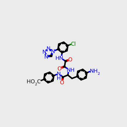 Nc1ccc(CC(NC(=O)C(=O)Nc2cc(Cl)ccc2-n2cnnn2)C(=O)Nc2ccc(C(=O)O)cc2)cc1